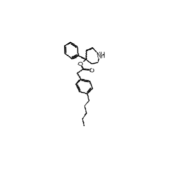 CCCCCc1ccc(CC(=O)OC2(c3ccccc3)CCNCC2)cc1